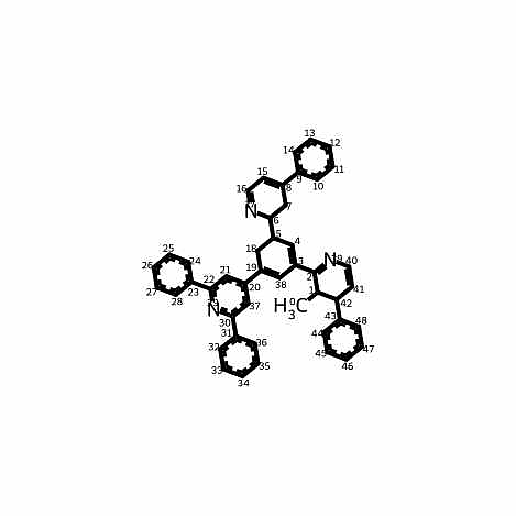 CC1C(C2=CC(C3CC(c4ccccc4)=CC=N3)CC(c3cc(-c4ccccc4)nc(-c4ccccc4)c3)=C2)=NC=CC1c1ccccc1